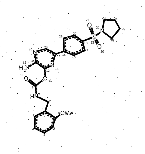 COc1ccccc1CNC(=O)Oc1nc(-c2ccc(S(=O)(=O)N3CCCC3)cc2)cnc1N